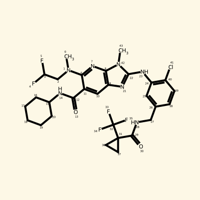 CN(CC(F)F)c1nc2c(cc1C(=O)NC1CCCCC1)nc(Nc1cc(CNC(=O)C3(C(F)(F)F)CC3)ccc1Cl)n2C